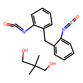 CC(C)(CO)CO.O=C=Nc1ccccc1Cc1ccccc1N=C=O